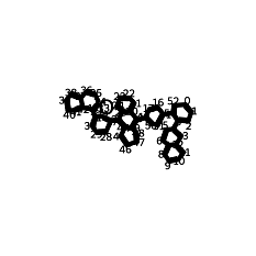 c1ccc(-c2ccc3ccccc3c2)c(-c2ccc(-c3c4ccccc4c(-c4cccc5c4oc4ccc6ccccc6c45)c4ccccc34)cc2)c1